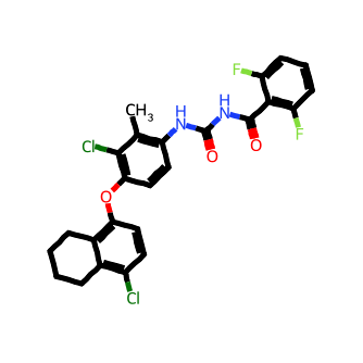 Cc1c(NC(=O)NC(=O)c2c(F)cccc2F)ccc(Oc2ccc(Cl)c3c2CCCC3)c1Cl